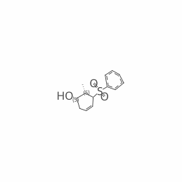 C[C@@H]1C(S(=O)(=O)c2ccccc2)C=CC[C@@H]1O